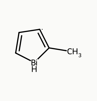 C[C]1=[C]C=[CH][BiH]1